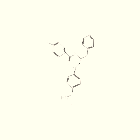 CC(C)(C)NSc1ccc(NC[C@H](Cc2ccccc2)NC(=O)c2ccc(F)cc2)cc1